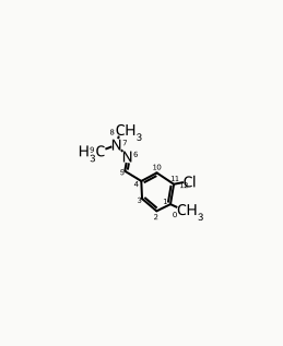 Cc1ccc(/C=N/N(C)C)cc1Cl